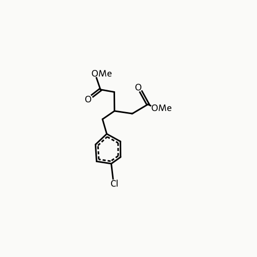 COC(=O)CC(CC(=O)OC)Cc1ccc(Cl)cc1